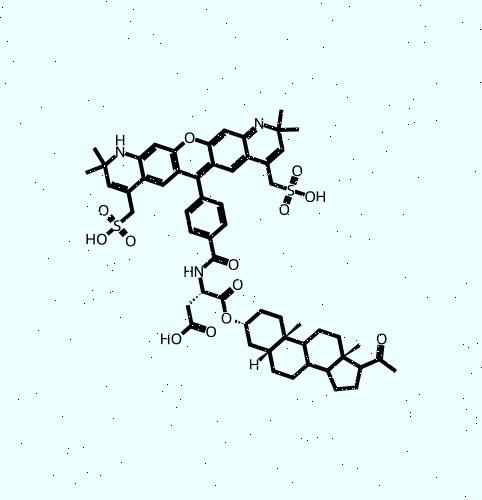 CC(=O)C1CCC2C3CC[C@@H]4C[C@H](OC(=O)[C@H](CC(=O)O)NC(=O)c5ccc(C6=c7cc8c(cc7Oc7cc9c(cc76)C(CS(=O)(=O)O)=CC(C)(C)N9)=NC(C)(C)C=C8CS(=O)(=O)O)cc5)CC[C@]4(C)C3CC[C@]12C